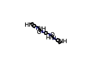 O=C(/C=C/c1ccc(/C=C/C(=O)N/N=C/c2ccc3[nH]ccc3c2)cc1)N/N=C/c1ccc2[nH]ccc2c1